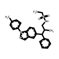 Cc1ccc(-n2ncc3cc(C(c4ccccc4)C(C)CNS(=O)(=O)CC(F)(F)F)ccc32)cc1